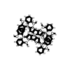 COc1ccccc1N(c1cc2c(s1)-c1sc(N(c3ccccc3OC)c3ccccc3OC)cc1[Si]21c2cc(N(c3ccccc3OC)c3ccccc3OC)sc2-c2sc(N(c3ccccc3OC)c3ccccc3OC)cc21)c1ccccc1OC